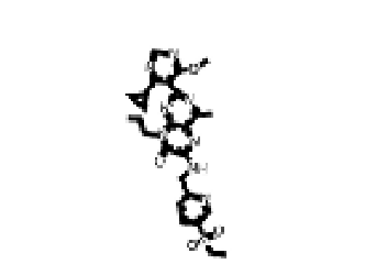 CCCn1c(=O)c(NCc2ccc(S(=O)(=O)CC)cn2)nc2c(C)nc(-c3c(OC)ncnc3C3CC3)nc21